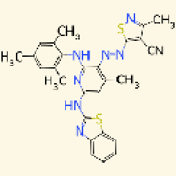 Cc1cc(C)c(Nc2nc(Nc3nc4ccccc4s3)cc(C)c2N=Nc2snc(C)c2C#N)c(C)c1